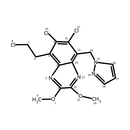 COc1nc2c(CCCl)c(Cl)c(Cl)c(Cn3cccn3)c2nc1OC